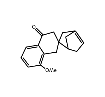 COc1cccc2c1CC1(CC2=O)CC2=CCC1C2